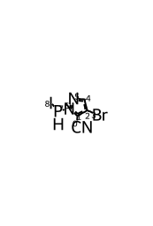 N#Cc1c(Br)cnn1PI